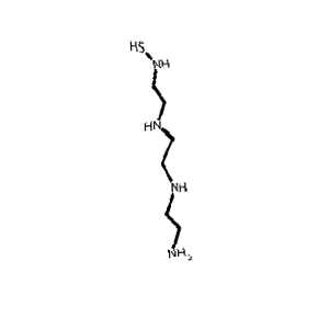 NCCNCCNCCNS